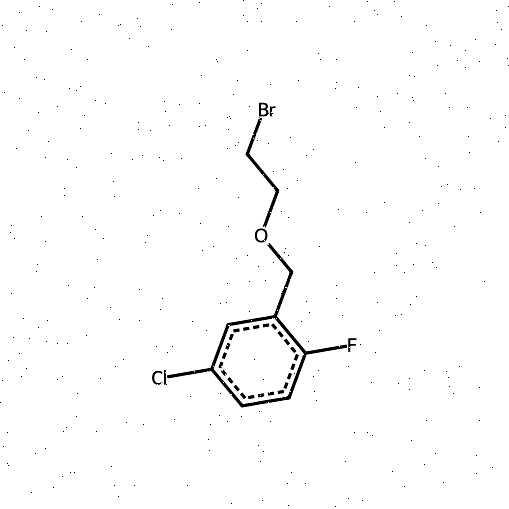 Fc1ccc(Cl)cc1COCCBr